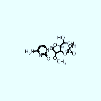 COC1C(O[PH](=O)O)[C@@H]([C@H](C)O)O[C@H]1n1ccc(N)nc1=O